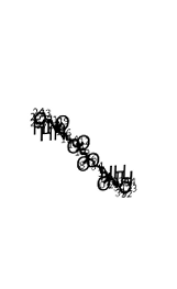 O=C(NCCCOC(=O)/C=C/C(=O)OCCCNC(=O)NCC1CCCCC1)NCC1CCCCC1